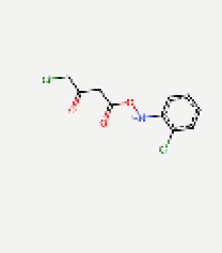 O=C(CCl)CC(=O)ONc1ccccc1Cl